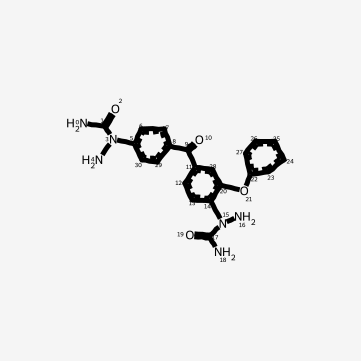 NC(=O)N(N)c1ccc(C(=O)c2ccc(N(N)C(N)=O)c(Oc3ccccc3)c2)cc1